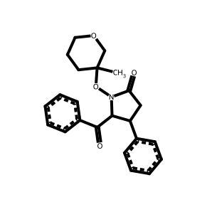 CC1(ON2C(=O)CC(c3ccccc3)C2C(=O)c2ccccc2)CCCOC1